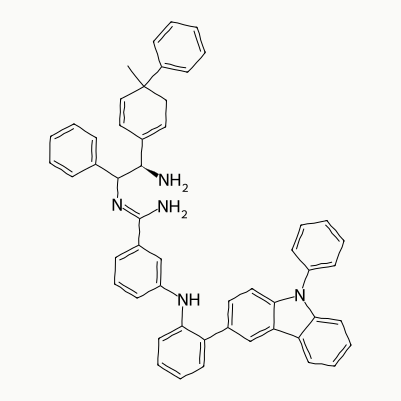 CC1(c2ccccc2)C=CC([C@@H](N)C(/N=C(\N)c2cccc(Nc3ccccc3-c3ccc4c(c3)c3ccccc3n4-c3ccccc3)c2)c2ccccc2)=CC1